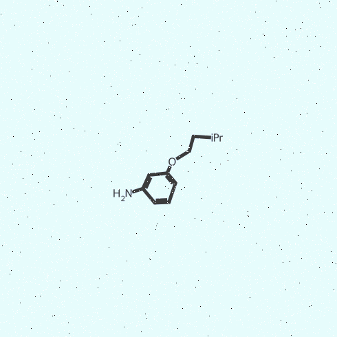 CC(C)CCOc1cccc(N)c1